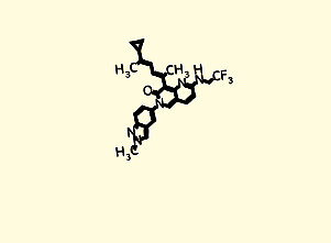 C/C(=C\C=C(/C)C1CC1)c1c(=O)n(-c2ccc3nn(C)cc3c2)cc2ccc(NCC(F)(F)F)nc12